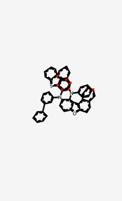 c1ccc(-c2cccc(N(c3ccc4oc5ccc6ccccc6c5c4c3N(c3ccccc3)c3ccc4ccccc4c3)c3cccc4c3sc3ccccc34)c2)cc1